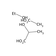 CC(=O)O.CC(O)C(=O)O.CCO